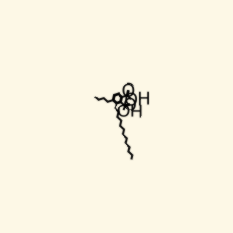 CCCCCCCCCCCCCc1c(CCCC)ccc(C(=O)O)c1C(=O)O